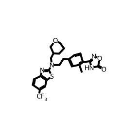 Cc1cc(CCN(CC2CCCOC2)c2nc3ccc(C(F)(F)F)cc3s2)ccc1-c1noc(=O)[nH]1